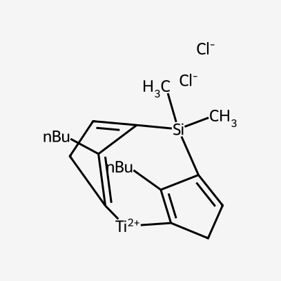 CCCCC1=[C]2CC=C1[Si](C)(C)C1=CC[C](=C1CCCC)[Ti+2]2.[Cl-].[Cl-]